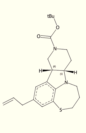 C=CCc1cc2c3c(c1)[C@@H]1CN(C(=O)OC(C)(C)C)CC[C@@H]1N3CCCS2